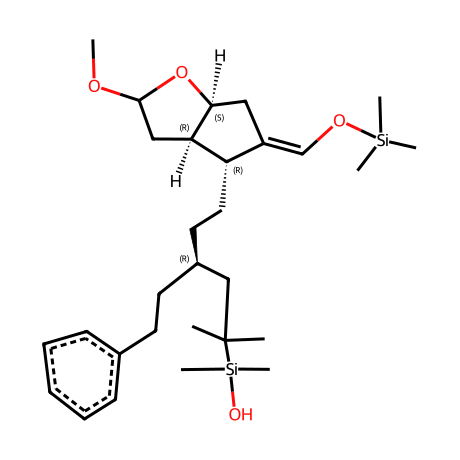 COC1C[C@H]2[C@H](CC(=CO[Si](C)(C)C)[C@@H]2CC[C@H](CCc2ccccc2)CC(C)(C)[Si](C)(C)O)O1